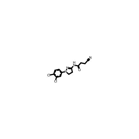 N#CCCC(=O)NC1=NN(c2ccc(Cl)c(Cl)c2)CC1